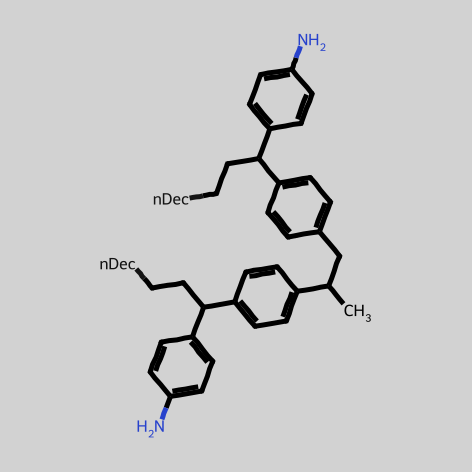 CCCCCCCCCCCCC(c1ccc(N)cc1)c1ccc(CC(C)c2ccc(C(CCCCCCCCCCCC)c3ccc(N)cc3)cc2)cc1